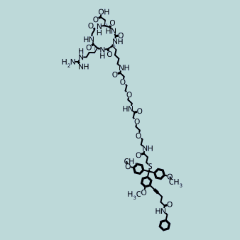 COc1ccc(C(SCCC(=O)NCCOCCOCC(=O)NCCOCCOCC(=O)NCCCC[C@@H]2NC(=O)NC(=O)[C@H](CC(=O)O)NC(=O)CNC(=O)[C@H](CCCNC(=N)N)NC2=O)(c2ccc(OC)cc2)c2ccc(OC)c(C#CCCC(=O)NCc3ccccc3)c2)cc1